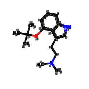 CN(C)CCc1c[nH]c2cccc(O[Si](C)(C)C)c12